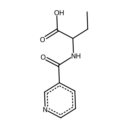 CCC(NC(=O)c1cccnc1)C(=O)O